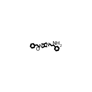 N[C@@H](CCN1CC2CN(C(=O)Cc3ccccc3)CC2C1)c1ccccc1